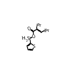 CC(C)C=C(C(=O)O[SiH2]c1cccs1)C(C)C